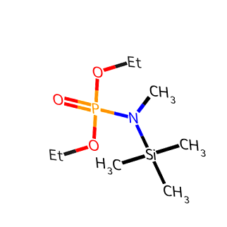 CCOP(=O)(OCC)N(C)[Si](C)(C)C